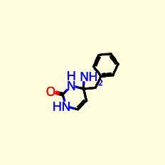 NC1(Cc2ccccc2)C=CNC(=O)N1